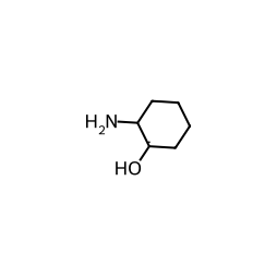 NC1CCCC[C]1O